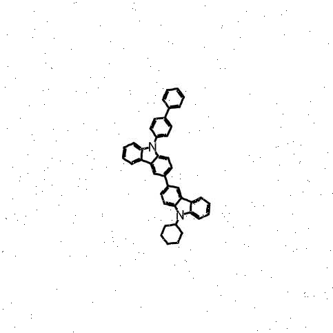 c1ccc(-c2ccc(-n3c4ccccc4c4cc(-c5ccc6c(c5)c5ccccc5n6C5CCCCC5)ccc43)cc2)cc1